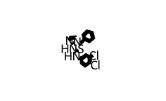 S=C(Nc1ccc(Cl)c(Cl)c1)Nc1nccn1Cc1ccccc1